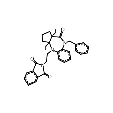 O=C1c2ccccc2C(=O)N1CCN1c2ccccc2N(Cc2ccccc2)C(=O)[C@H]2CCC[C@H]21